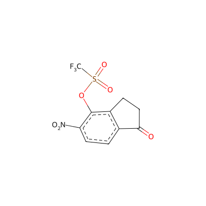 O=C1CCc2c1ccc([N+](=O)[O-])c2OS(=O)(=O)C(F)(F)F